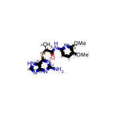 COc1ccc(NC(=O)[C@@H](C)Sc2nc(N)nc3nc[nH]c23)nc1OC